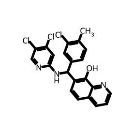 Cc1ccc(C(Nc2cc(Cl)c(Cl)cn2)c2ccc3cccnc3c2O)cc1Cl